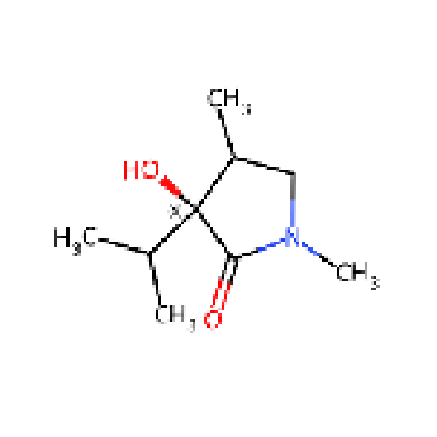 CC(C)[C@@]1(O)C(=O)N(C)CC1C